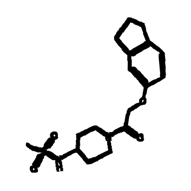 CS(=O)(=O)NC1CCN(C(=O)COc2ccc3c(c2)CCC3)CC1